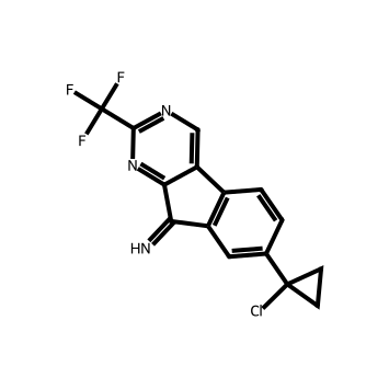 N=C1c2cc(C3(Cl)CC3)ccc2-c2cnc(C(F)(F)F)nc21